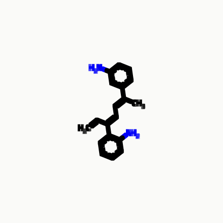 C=C/C(=C\C=C(/C)c1cccc(N)c1)c1ccccc1N